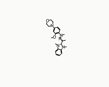 COc1cc(N2CCOCC2)ccc1N(C)/N=C(\C)c1n(C)c2ccccc2[n+]1C